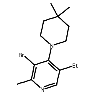 CCc1cnc(C)c(Br)c1N1CCC(C)(C)CC1